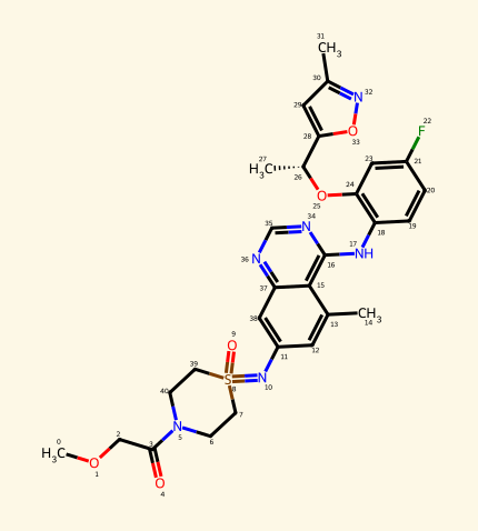 COCC(=O)N1CCS(=O)(=Nc2cc(C)c3c(Nc4ccc(F)cc4O[C@H](C)c4cc(C)no4)ncnc3c2)CC1